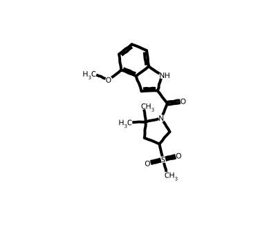 COc1cccc2[nH]c(C(=O)N3CC(S(C)(=O)=O)CC3(C)C)cc12